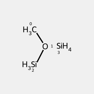 CO[SiH3].[SiH4]